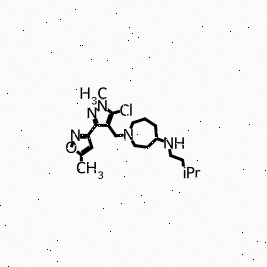 Cc1cc(-c2nn(C)c(Cl)c2CN2CCCC(NCCC(C)C)CC2)no1